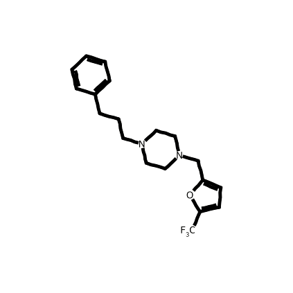 FC(F)(F)c1ccc(CN2CCN(CCCc3ccccc3)CC2)o1